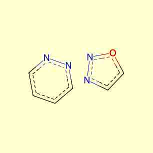 c1ccnnc1.c1conn1